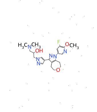 COc1ncc(-n2nc(-c3cnn(CC(O)CN(C)C)c3)c3c2CCOCC3)cc1F